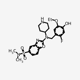 CCOc1cc(CN(c2nc3cc(S(=O)(=O)N(C)C)ccc3o2)C2CCNCC2)c(F)cc1O